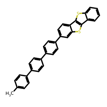 Cc1ccc(-c2ccc(-c3ccc(-c4ccc5c(c4)sc4c6ccccc6sc54)cc3)cc2)cc1